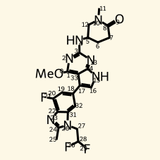 COc1nc(NC2CCC(=O)N(C)C2)nc2[nH]cc(-c3cc(F)c4nc(C)n(CC(F)F)c4c3)c12